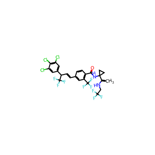 C=C(NCC(F)(F)F)C1(NC(=O)c2ccc(/C=C/C(c3cc(Cl)c(Cl)c(Cl)c3)C(F)(F)F)cc2C(F)(F)F)CC1